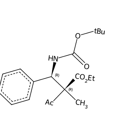 CCOC(=O)[C@@](C)(C(C)=O)[C@H](NC(=O)OC(C)(C)C)c1ccccc1